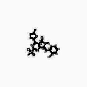 Cc1ccc(-c2nc(S(C)(=O)=O)nc3c2C(=O)N(C)/C3=C\c2ccccc2F)o1